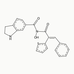 O=C(C(=Cc1ccccc1)c1cccs1)N(O)C(=O)c1ccc2c(c1)NCC2